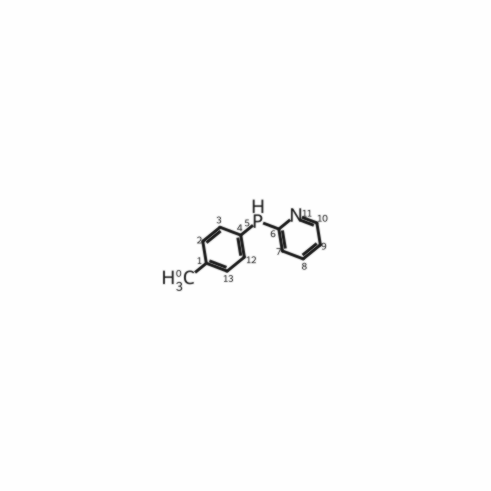 Cc1ccc(Pc2ccccn2)cc1